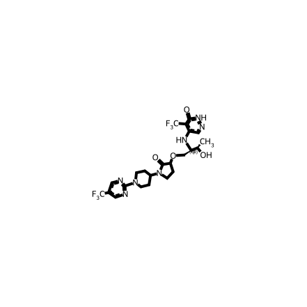 C[C@@H](O)[C@@H](COC1CCN(C2CCN(c3ncc(C(F)(F)F)cn3)CC2)C1=O)Nc1cn[nH]c(=O)c1C(F)(F)F